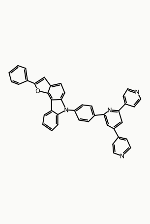 c1ccc(-c2cc3ccc4c(c5ccccc5n4-c4ccc(-c5cc(-c6ccncc6)cc(-c6ccncc6)n5)cc4)c3o2)cc1